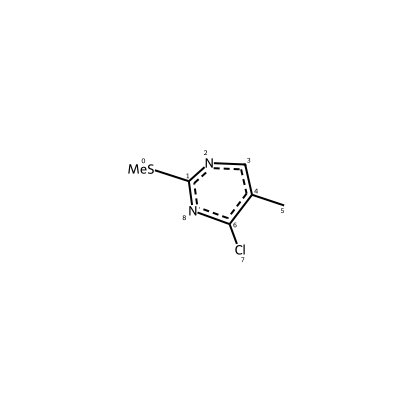 CSc1ncc(C)c(Cl)n1